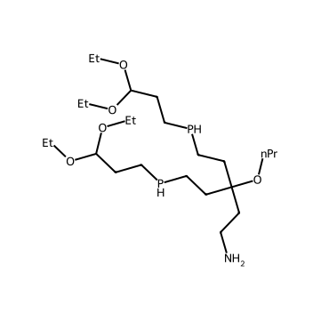 CCCOC(CCN)(CCPCCC(OCC)OCC)CCPCCC(OCC)OCC